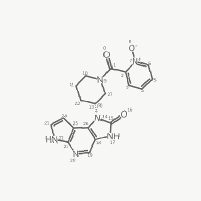 O=C(c1cccc[n+]1[O-])N1CCC[C@@H](n2c(=O)[nH]c3cnc4[nH]ccc4c32)C1